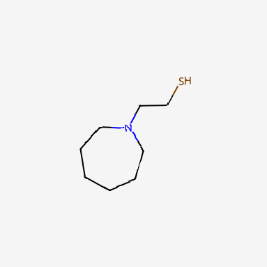 SCCN1CCCCCC1